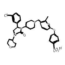 Cc1nc(Oc2ccc(C(=O)O)cc2)ccc1CN1CCC(N2C(=O)N(C3CCOCC3)CC2c2cccc(Cl)c2)CC1